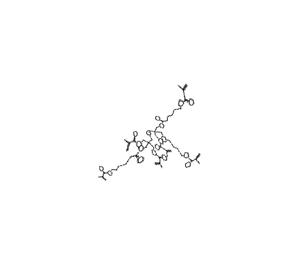 C=C(C)C(=O)OCCCCCC(=O)OCC(COCCCCOC(=O)C(=C)C)(COCC(COC(=O)CCCCCOC(=O)C(=C)C)(COC(=O)C(=C)C)COC(=O)C(=C)C)COC(=O)C(=C)C